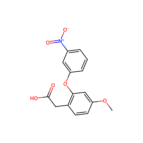 COc1ccc(CC(=O)O)c(Oc2cccc([N+](=O)[O-])c2)c1